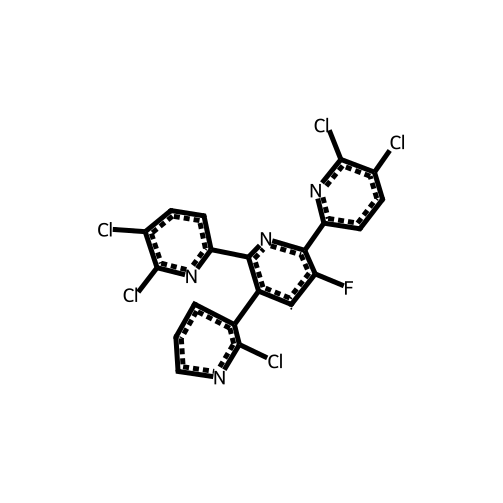 Fc1[c]c(-c2cccnc2Cl)c(-c2ccc(Cl)c(Cl)n2)nc1-c1ccc(Cl)c(Cl)n1